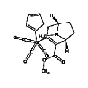 COC(=O)C1=[C]([Re](=[C]=O)(=[C]=O)(=[C]=O)[C]2=CC=CC2)C[C@@H]2CC[C@H]1N2C